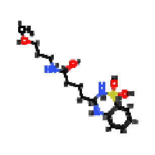 COCCCNC(=O)CCCC1=Nc2ccccc2S(=O)(=O)N1